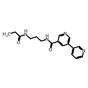 CCC(=O)NCCCNC(=O)c1cncc(-c2cccnc2)c1